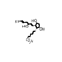 CCC=CCC(O)C=C[C@@H]1[C@@H](CC=CCCCC(=O)O)[C@@H](O)C[C@H]1O